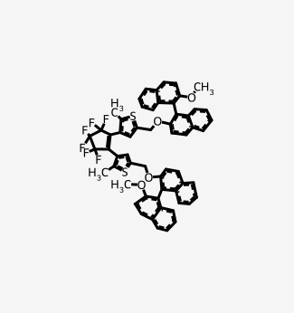 COc1ccc2ccccc2c1-c1c(OCc2cc(C3=C(c4cc(COc5ccc6ccccc6c5-c5c(OC)ccc6ccccc56)sc4C)C(F)(F)C(F)(F)C3(F)F)c(C)s2)ccc2ccccc12